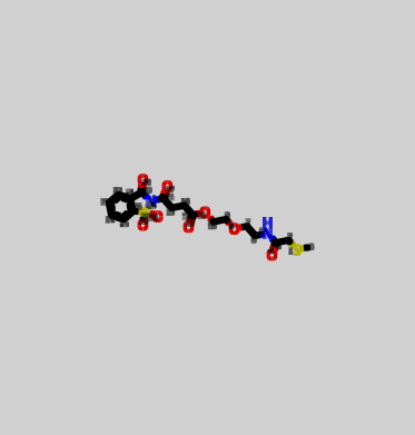 CSCC(=O)NCCOCCOC(=O)CCC(=O)N1C(=O)c2ccccc2S1(=O)=O